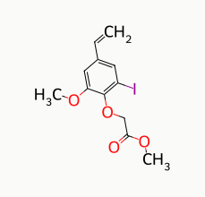 C=Cc1cc(I)c(OCC(=O)OC)c(OC)c1